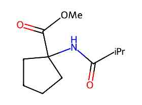 COC(=O)C1(NC(=O)C(C)C)CCCC1